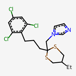 CCC1CSC(CCCc2c(Cl)cc(Cl)cc2Cl)(Cn2ccnc2)SC1